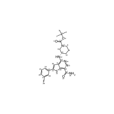 CC(C)(C)OC(=O)N1CCC[C@H](Nc2nnc(C(N)=O)c3sc(-c4cccc(F)c4)cc23)C1